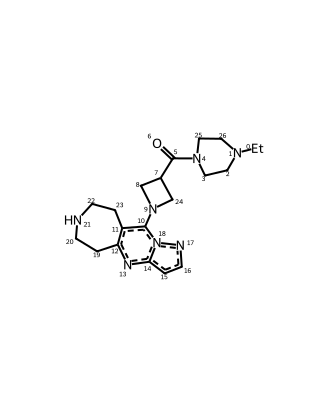 CCN1CCN(C(=O)C2CN(c3c4c(nc5ccnn35)CCNCC4)C2)CC1